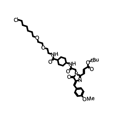 COc1ccc(/C=C2N=C(/C=C/C(=O)OC(C)(C)C)N(CC(=O)NC3CCC(C(=O)NCCOCCOCCCCCCCl)CC3)C\2=O)cc1